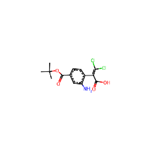 CC(C)(C)OC(=O)c1ccc(C(C(=O)O)=C(Cl)Cl)c(N)c1